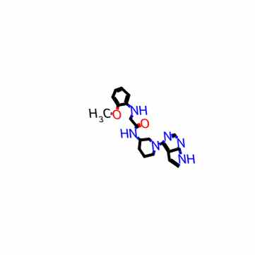 COc1ccccc1NCC(=O)NC1CCCN(c2ncnc3[nH]ccc23)C1